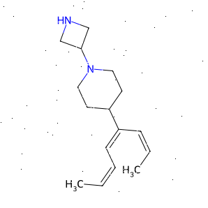 C\C=C/C=C(\C=C/C)C1CCN(C2CNC2)CC1